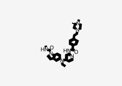 CCN(c1ccnc(NC(=O)c2ccc(CCN3CCN(C)[C@H](C)C3)cc2)c1)c1ccc2c(ccn2C(=O)NC)c1